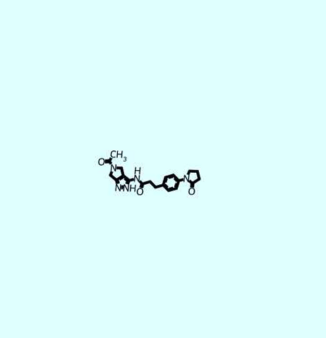 CC(=O)N1Cc2n[nH]c(NC(=O)CCc3ccc(N4CCCC4=O)cc3)c2C1